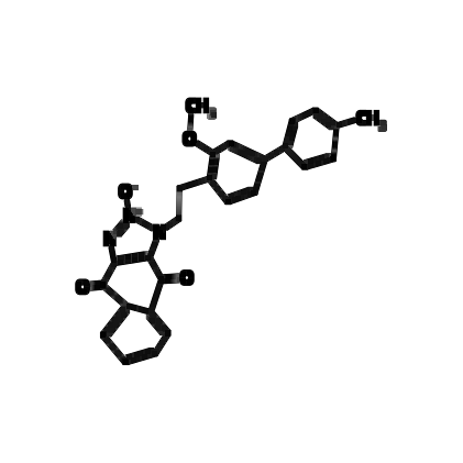 COc1cc(-c2ccc(C)cc2)ccc1CCn1c2c(n[n+]1[O-])C(=O)c1ccccc1C2=O